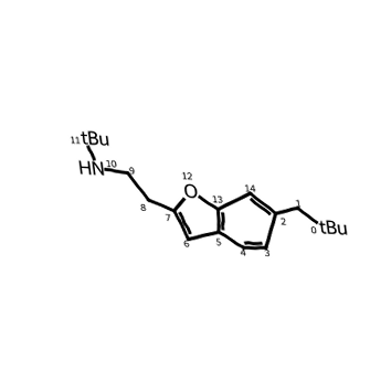 CC(C)(C)Cc1ccc2cc(CCNC(C)(C)C)oc2c1